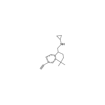 C#Cc1ccc2c(c1)C(C)(C)CCC2CNC1CC1